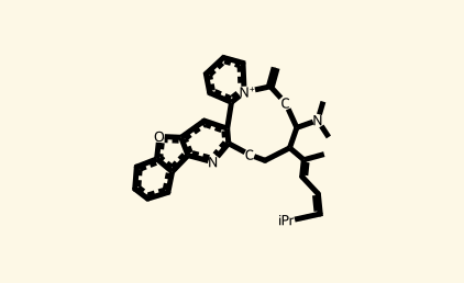 C=C1CC(N(C)C)C(/C(C)=C/C=C\C(C)C)CCc2nc3c(cc2-c2cccc[n+]21)oc1ccccc13